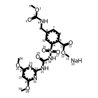 COC(=O)NCc1ccc(C(=O)OC)c(S(=O)(=O)NC(=O)Nc2nc(OC)cc(OC)n2)c1.[NaH]